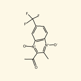 CC(=O)c1c(C)[n+]([O-])c2ccc(C(F)(F)F)cc2[n+]1[O-]